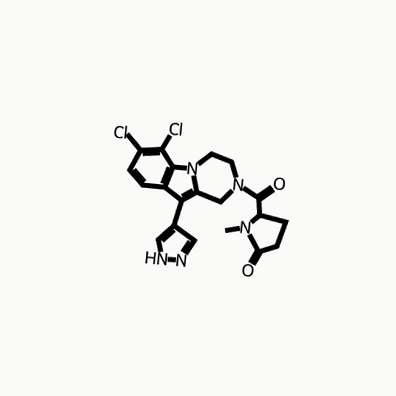 CN1C(=O)CCC1C(=O)N1CCn2c(c(-c3cn[nH]c3)c3ccc(Cl)c(Cl)c32)C1